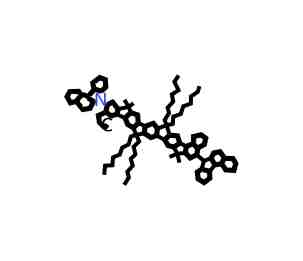 CCCCCCCCC1(CCCCCCCC)c2cc3c(cc2-c2cc4c(cc21)-c1cc2c(cc1C4(CCCCCCCC)CCCCCCCC)-c1c(cc(-n4c5ccccc5c5c6ccccc6ccc54)c4ccccc14)C2(C)C)C(C)(C)c1cc(C2c4ccccc4-c4c2ccc2ccccc42)c2ccccc2c1-3